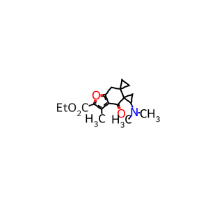 CCOC(=O)c1oc2c(c1C)C(=O)C1(CC1N(C)C)C1(CC1)C2